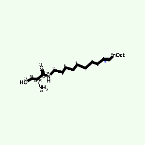 CCCCCCCC/C=C/CCCCCCCCNC(=O)[C@H](N)CO